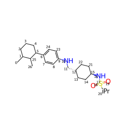 CC1CCCC(c2ccc(NC[C@H]3CC[C@H](NS(=O)(=O)C(C)C)CC3)cc2)C1C